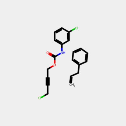 C=CCc1ccccc1.O=C(Nc1cccc(Cl)c1)OCC#CCCl